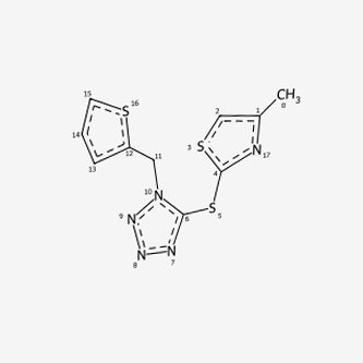 Cc1csc(Sc2nnnn2Cc2cccs2)n1